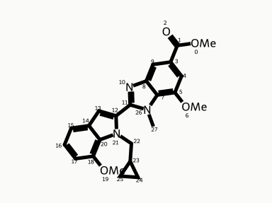 COC(=O)c1cc(OC)c2c(c1)nc(-c1cc3cccc(OC)c3n1CC1CC1)n2C